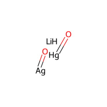 [LiH].[O]=[Ag].[O]=[Hg]